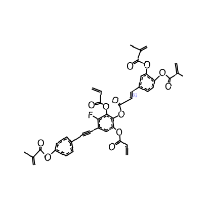 C=CC(=O)Oc1cc(C#Cc2ccc(OC(=O)C(=C)C)cc2)c(F)c(OC(=O)C=C)c1OC(=O)/C=C/c1ccc(OC(=O)C(=C)C)c(OC(=O)C(=C)C)c1